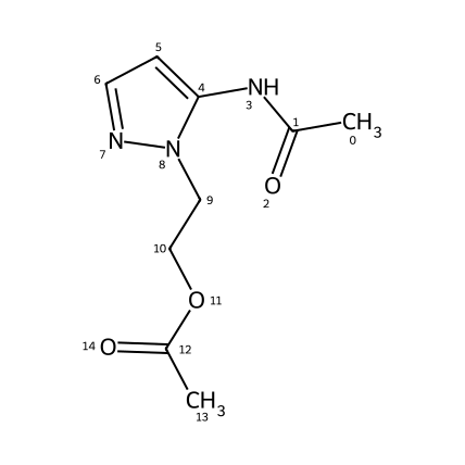 CC(=O)Nc1ccnn1CCOC(C)=O